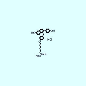 CCCCN(CCCC)CCCCCCOc1ccc(Cc2c(-c3ccc(O)cc3)ccc3cc(O)ccc23)cc1.Cl